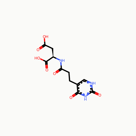 O=C(O)C[C@@H](NC(=O)CCc1c[nH]c(=O)[nH]c1=O)C(=O)O